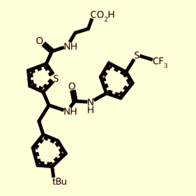 CC(C)(C)c1ccc(CC(NC(=O)Nc2ccc(SC(F)(F)F)cc2)c2ccc(C(=O)NCCC(=O)O)s2)cc1